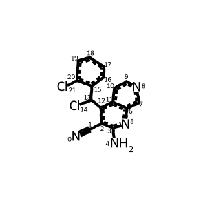 N#Cc1c(N)nc2cnccc2c1C(Cl)c1ccccc1Cl